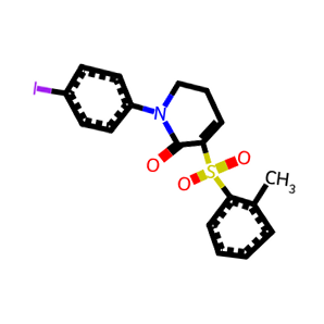 Cc1ccccc1S(=O)(=O)C1=CCCN(c2ccc(I)cc2)C1=O